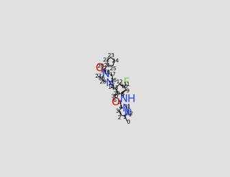 Cc1ccc(C(=O)Nc2cc(F)cc(CN3CCN(C(=O)C4CCCC4)C(C)C3)c2C)nn1